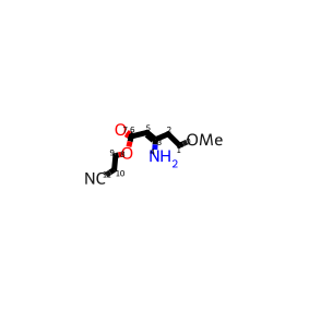 COCCC(N)=CC(=O)OCCC#N